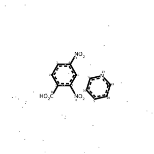 O=C(O)c1ccc([N+](=O)[O-])cc1[N+](=O)[O-].c1ccncc1